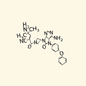 CC(C)(N)C=C(C#N)C(=O)N1CC(n2c(=O)n(-c3ccc(Oc4ccccc4)cc3)c3c(N)ncnc32)C1